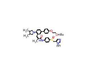 CCCCOCCOc1ccc(-c2ccc(N3CC(C)C(C)C3)c(C=C(C)C(=O)Nc3ccc([S+]([O-])Cc4cncn4CCC)cc3)c2)cc1